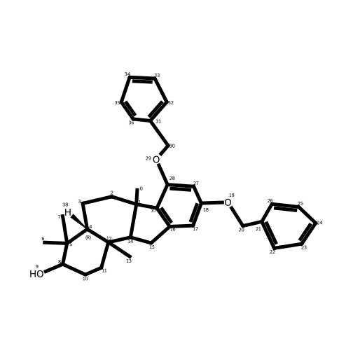 CC12CC[C@H]3C(C)(C)C(O)CCC3(C)C1Cc1cc(OCc3ccccc3)cc(OCc3ccccc3)c12